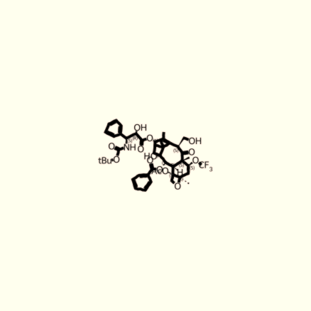 CC(=O)O[C@@]12CO[C@]1(C)C[C@H](OC(F)(F)F)[C@@]1(C)C(=O)[C@H](CO)C3=C(C)[C@@H](OC(=O)[C@H](O)[C@@H](NC(=O)OC(C)(C)C)c4ccccc4)C[C@@](O)([C@@H](OC(=O)c4ccccc4)[C@@H]12)C3(C)C